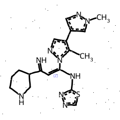 Cc1c(-c2cnn(C)c2)cnn1/C(=C\C(=N)C1CCCNC1)Nc1nncs1